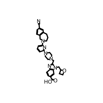 N#Cc1ccc2c(c1)CCCN(c1cccc(N3CCN(Cc4nc5ccc(C(=O)O)cc5n4CC4CCO4)CC3)n1)C2